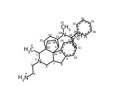 CC1N(CCN)CC2Cc3ccc(O)cc3C23C2CCC13CCC2N(C)C(=O)c1ccccc1